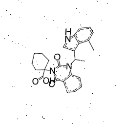 Cc1cccc2[nH]cc(C(C)n3c(=O)n(C4(C(=O)O)CCCCC4)c(=O)c4ccccc43)c12